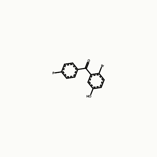 O=C(c1ccc(F)cc1)c1cc(O)ccc1Br